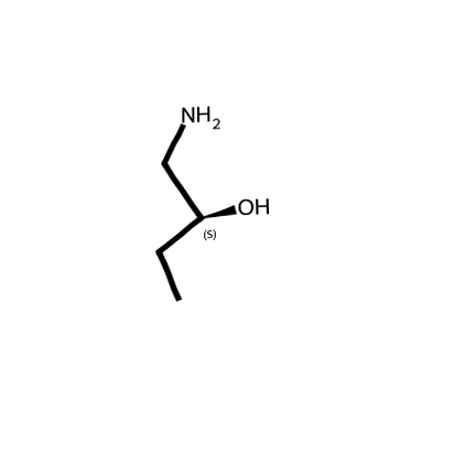 CC[C@H](O)CN